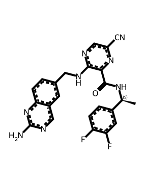 C[C@H](NC(=O)c1nc(C#N)cnc1NCc1ccc2nc(N)ncc2c1)c1ccc(F)c(F)c1